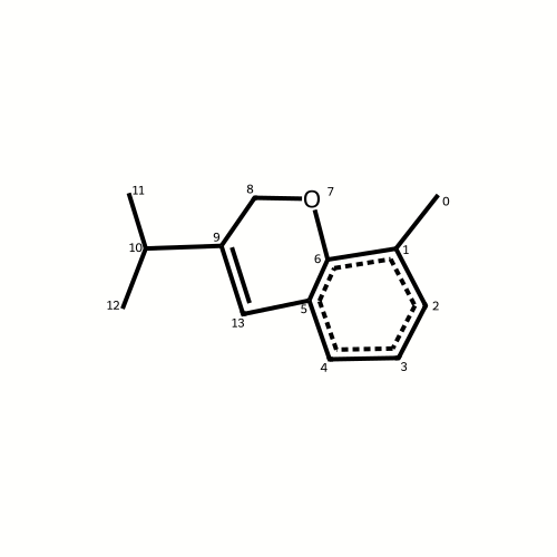 Cc1cccc2c1OCC(C(C)C)=C2